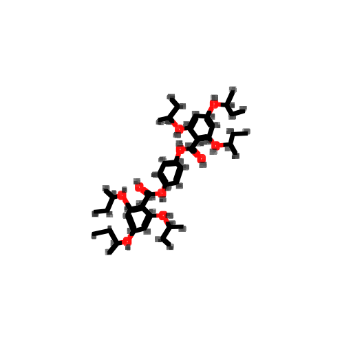 CCC(C)Oc1cc(OC(C)CC)c(C(=O)Oc2ccc(OC(=O)c3c(OC(C)CC)cc(OC(C)CC)cc3OC(C)CC)cc2)c(OC(C)CC)c1